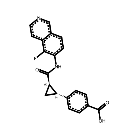 O=C(O)c1ccc([C@@H]2C[C@H]2C(=O)Nc2ccc3cnccc3c2F)cc1